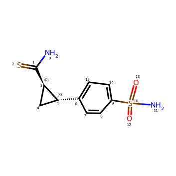 NC(=S)[C@@H]1C[C@H]1c1ccc(S(N)(=O)=O)cc1